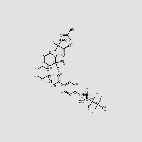 CC(=O)OC(C)(C)C(=O)Cl.CC(C)(C)C(=O)Cl.CC1(Cl)CCCCO1.CCC1(Cl)CCCCO1.CCCCCCCc1ccc(C(=O)Cl)cc1.O=C(Cl)C(F)(F)C(F)(F)C(F)(F)F